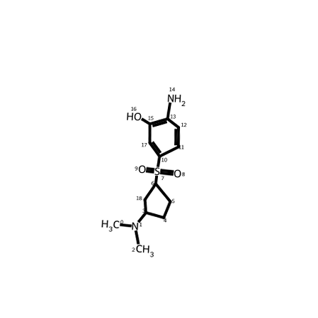 CN(C)C1CCC(S(=O)(=O)c2ccc(N)c(O)c2)C1